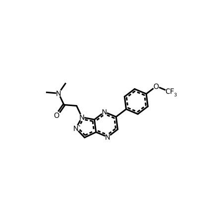 CN(C)C(=O)Cn1ncc2ncc(-c3ccc(OC(F)(F)F)cc3)nc21